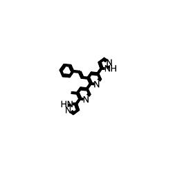 Cc1cc(-c2ncc(-c3ccn[nH]3)cc2/C=C/c2ccccc2)cnc1-c1ccn[nH]1